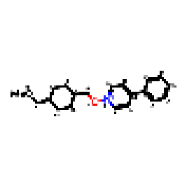 COCC1CCC(CO[n+]2ccc(-c3ccccc3)cc2)CC1